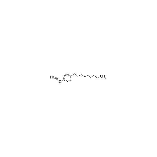 C#COc1ccc(CCCCCCCCC)cc1